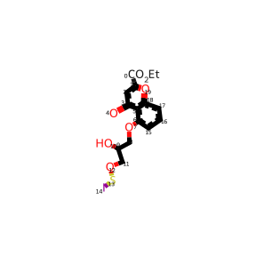 CCOC(=O)c1cc(=O)c2c(OCC(O)COSI)cccc2o1